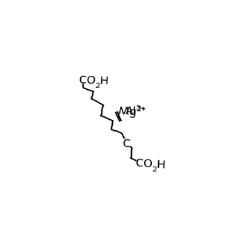 C=C.O=C(O)CCCCCCCCCCCC(=O)O.[Al+3].[Mg+2]